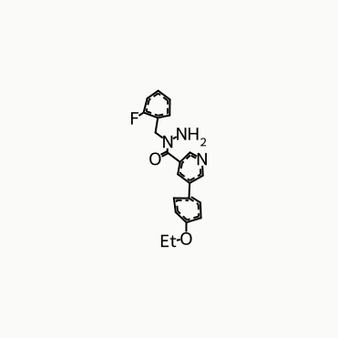 CCOc1ccc(-c2cncc(C(=O)N(N)Cc3ccccc3F)c2)cc1